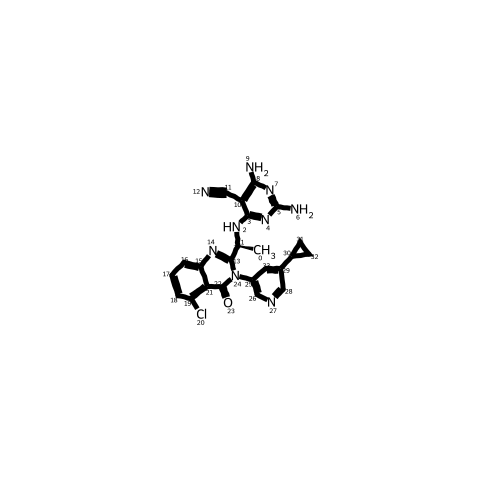 C[C@H](Nc1nc(N)nc(N)c1C#N)c1nc2cccc(Cl)c2c(=O)n1-c1cncc(C2CC2)c1